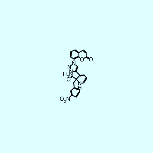 NC(=O)C1(Cc2cccc([N+](=O)[O-])c2)NC=CC=C1c1cn(-c2cccc3ccc(=O)oc23)nn1